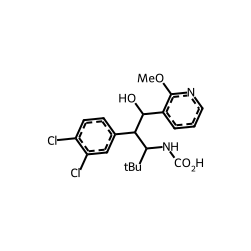 COc1ncccc1C(O)C(c1ccc(Cl)c(Cl)c1)C(NC(=O)O)C(C)(C)C